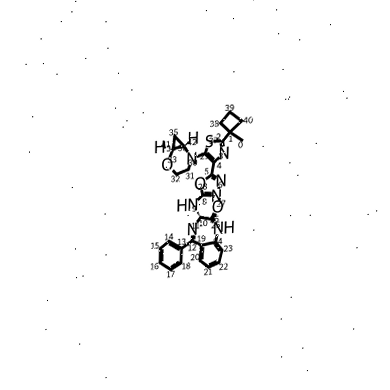 CC1(c2nc(-c3nnc(N[C@H]4N=C(c5ccccc5)c5ccccc5NC4=O)o3)c(N3CCO[C@H]4C[C@H]43)s2)CCC1